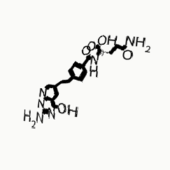 NC(=O)CC[C@H](NC(=O)c1ccc(CCc2cnc3nc(N)nc(O)c3c2)cc1)C(=O)O